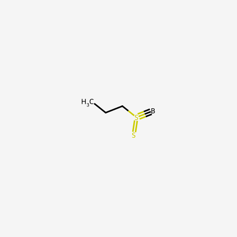 B#S(=S)CCC